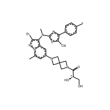 CCc1nn2c(C)cc(N3CC4(CN(C(=O)[C@H](O)CO)C4)C3)cc2c1N(C)c1nc(-c2ccc(F)cc2)c(C#N)s1